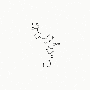 C=CC(=O)N1CCC(c2cc(-c3ccc(OC4=CC=CC=CC4)cc3OC)n3cnccc23)C1